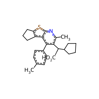 Cc1ccc(-c2c(C(C(=O)O)C3CCCC3)c(C)nc3sc4c(c23)CCC4)cc1